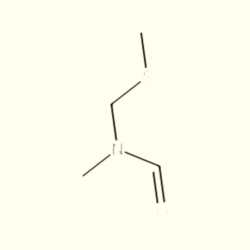 CSCN(C)[C]=O